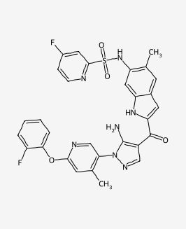 Cc1cc2cc(C(=O)c3cnn(-c4cnc(Oc5ccccc5F)cc4C)c3N)[nH]c2cc1NS(=O)(=O)c1cc(F)ccn1